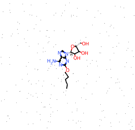 CCCCCOc1nc(N)c2ncn([C@@H]3O[C@H](CO)C(O)C3O)c2n1